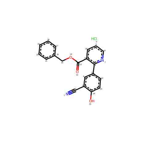 Cl.N#Cc1cc(-c2ncccc2C(=O)OCc2ccccc2)ccc1O